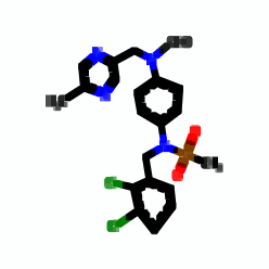 Cc1cnc(CN(C=O)c2ccc(N(Cc3cccc(Cl)c3Cl)S(C)(=O)=O)cc2)cn1